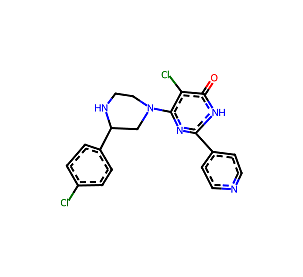 O=c1[nH]c(-c2ccncc2)nc(N2CCNC(c3ccc(Cl)cc3)C2)c1Cl